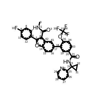 CNC(=O)c1c(-c2ccc(F)cc2)oc2ccc(-c3cc(C(=O)NC4(c5ccccn5)CC4)ccc3OC(F)(F)F)cc12